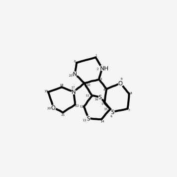 C1CNC(C2CSCCO2)C(C2CSCCS2)(N2CCOCC2)[N]1